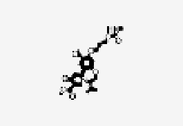 CNC(=O)OCCCOc1cc2c(cc1Cl)-c1cc(=O)c(C(=O)OC)cn1[C@H](C(C)C)CO2